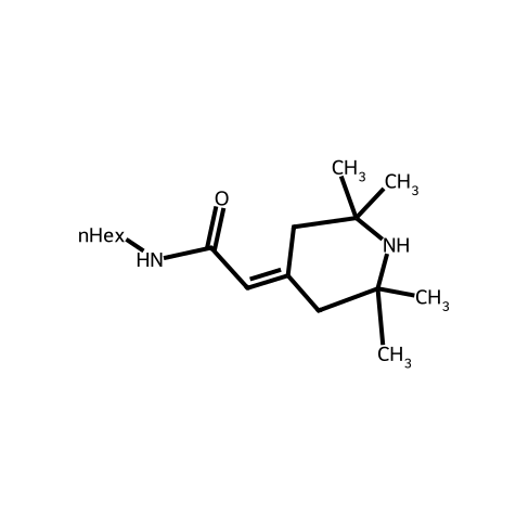 CCCCCCNC(=O)C=C1CC(C)(C)NC(C)(C)C1